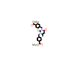 COC(=O)c1ccc(Cn2c(C)cc(=O)n(Cc3ccc(C(=O)OC)cc3)c2=O)cc1